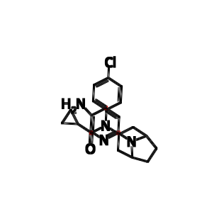 Nc1ccc(N2C3CCC2CC(N(C(=O)C2CC2)c2ccc(Cl)cc2)C3)nc1